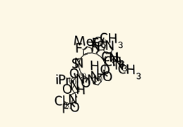 CCn1c(-c2cc(N3CCN(C)CC3)cnc2[C@H](C)OC)c2c3cc(c(F)cc31)-c1csc(n1)C[C@H](NC(=O)[C@H](C(C)C)N1CCC3(CN(C(=O)[C@H](F)Cl)C3)C1=O)C(=O)N1CCC[C@H](N1)C(=O)OCC(C)(C)C2